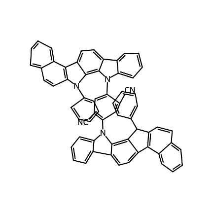 N#Cc1cc(-n2c3ccccc3c3ccc4c5c6ccccc6ccc5n(-c5ccccc5)c4c32)c(C#N)cc1-n1c2ccccc2c2ccc3c(c21)C(c1ccccc1)c1ccc2ccccc2c1-3